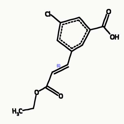 CCOC(=O)/C=C/c1cc(Cl)cc(C(=O)O)c1